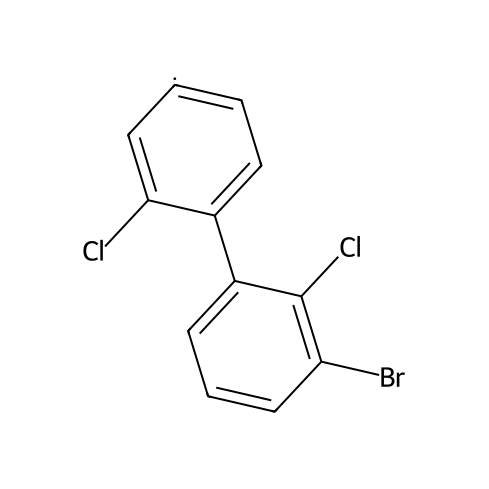 Clc1c[c]ccc1-c1cccc(Br)c1Cl